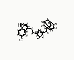 Fc1ccc2[nH]cc(C[CH]c3nc(CC45CC6CC(CC(C6)C4)C5)no3)c2c1